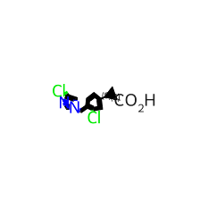 O=C(O)[C@H]1C[C@@H]1c1ccc(Cn2cnc(Cl)c2)c(Cl)c1